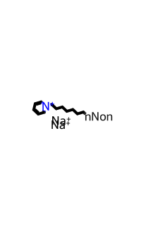 CCCCCCCCCCCCCCCC[n+]1ccccc1.[Na+].[Na+]